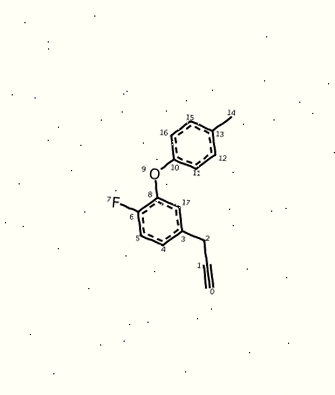 C#CCc1ccc(F)c(Oc2ccc(C)cc2)c1